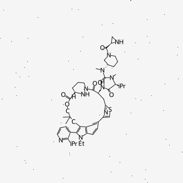 CCn1c(-c2cccnc2C(C)C)c2c3cc(ccc31)-c1csc(n1)C[C@H](NC(=O)[C@H](C(C)C)N(C)C(=O)N(C)[C@H]1CCCN(C(=O)[C@H]3CN3)C1)C(=O)N1CCC[C@H](N1)C(=O)OCC(C)(C)C2